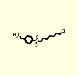 CCc1ccc([Si](Cl)(Cl)CCCCCCCCl)cc1